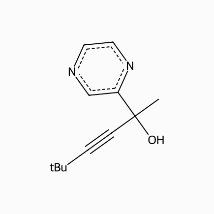 CC(C)(C)C#CC(C)(O)c1cnccn1